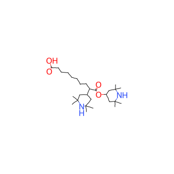 CC1(C)CC(OC(=O)C(CCCCCCCC(=O)O)C2CC(C)(C)NC(C)(C)C2)CC(C)(C)N1